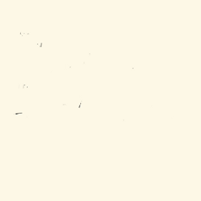 CONCC(=O)NC1C[C@H](O[C@H]2C[C@](O)(C(C)=O)Cc3c(O)c4c(c(O)c32)C(=O)c2c(CO)cccc2C4=O)OC(C)[C@H]1O